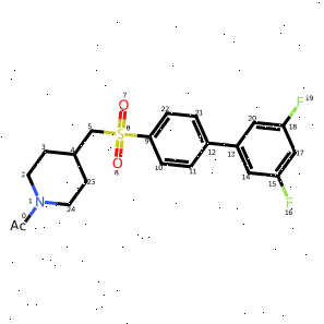 CC(=O)N1CCC(CS(=O)(=O)c2ccc(-c3cc(F)cc(F)c3)cc2)CC1